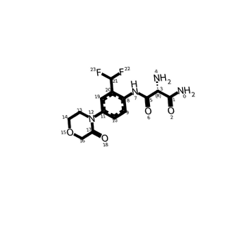 NC(=O)[C@@H](N)C(=O)Nc1ccc(N2CCOCC2=O)cc1C(F)F